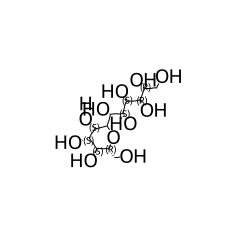 OC[C@@H](O)[C@@H](O)[C@H](O)[C@H](O)C(O)C1O[C@H](CO)[C@@H](O)[C@H](O)[C@@H]1O